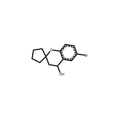 OC1CC2(CCCC2)Oc2ccc(Br)cc21